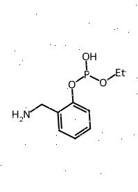 CCOP(O)Oc1ccccc1CN